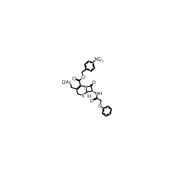 CC(=O)OCC1=C(C(=O)OCc2ccc([N+](=O)[O-])cc2)N2C(=O)[C@@H](NC(=O)COc3ccccc3)[C@H]2SC1